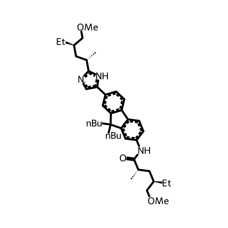 CCCCC1(CCCC)c2cc(NC(=O)[C@@H](C)C[C@@H](CC)COC)ccc2-c2ccc(-c3cnc([C@@H](C)C[C@@H](CC)COC)[nH]3)cc21